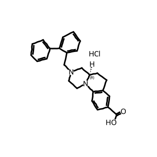 Cl.O=C(O)c1ccc2c(c1)CC[C@@H]1CN(Cc3ccccc3-c3ccccc3)CCN21